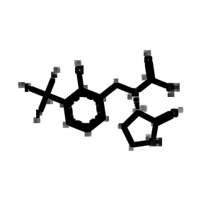 O=C1NCC[C@@H]1N(Cc1cccc(C(F)(F)F)c1Cl)C(=O)O